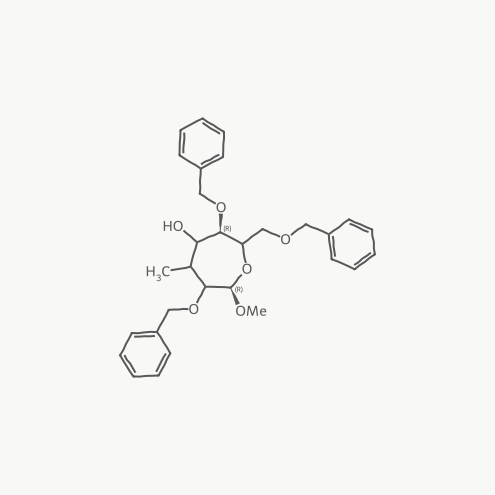 CO[C@@H]1OC(COCc2ccccc2)[C@H](OCc2ccccc2)C(O)C(C)C1OCc1ccccc1